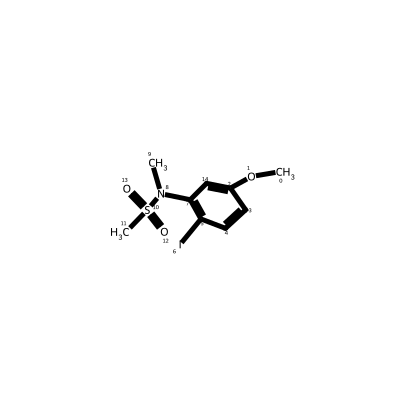 COc1ccc(I)c(N(C)S(C)(=O)=O)c1